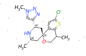 CC1CO[C@@]2(C[C@@H](c3cn(C)nn3)N[C@@H](C)C2)c2cc(Cl)sc21